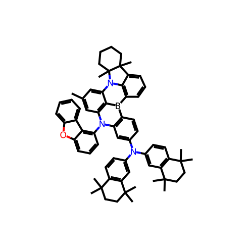 Cc1cc2c3c(c1)N1c4c(cccc4C4(C)CCCCC14C)B3c1ccc(N(c3ccc4c(c3)C(C)(C)CCC4(C)C)c3ccc4c(c3)C(C)(C)CCC4(C)C)cc1N2c1cccc2oc3ccccc3c12